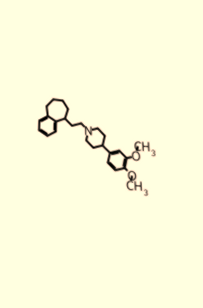 COc1ccc(C2CCN(CCC3CCCCc4ccccc43)CC2)cc1OC